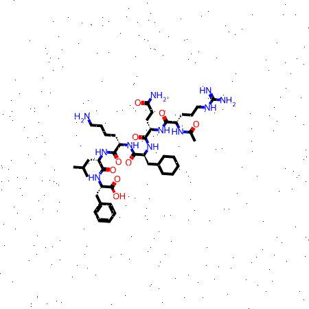 CC(=O)N[C@@H](CCCNC(=N)N)C(=O)N[C@@H](CCC(N)=O)C(=O)N[C@@H](CC1CCCCC1)C(=O)N[C@@H](CCCCN)C(=O)N[C@@H](CC(C)C)C(=O)N[C@@H](Cc1ccccc1)C(=O)O